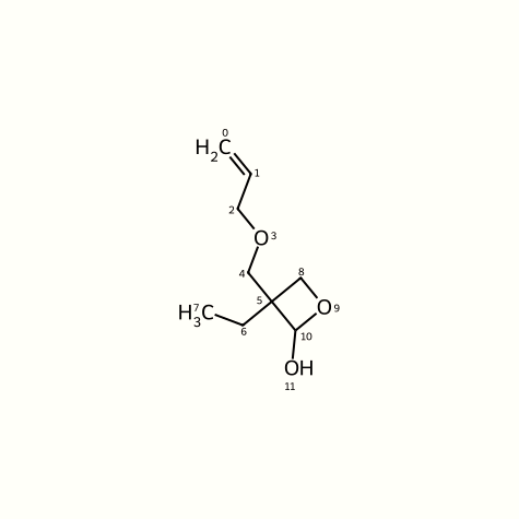 C=CCOCC1(CC)COC1O